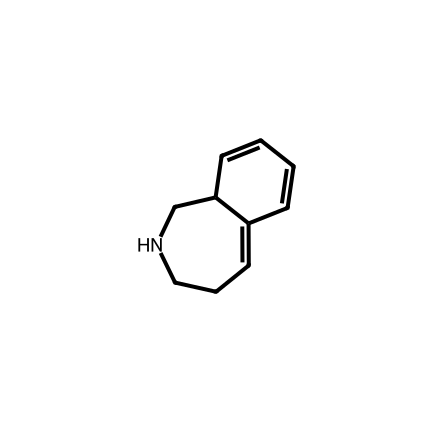 C1=CC2=CCCNCC2C=C1